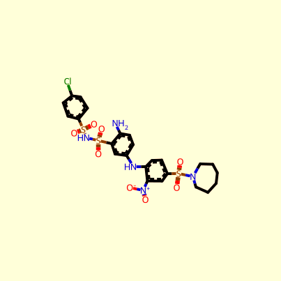 Nc1ccc(Nc2ccc(S(=O)(=O)N3CCCCCC3)cc2[N+](=O)[O-])cc1S(=O)(=O)NS(=O)(=O)c1ccc(Cl)cc1